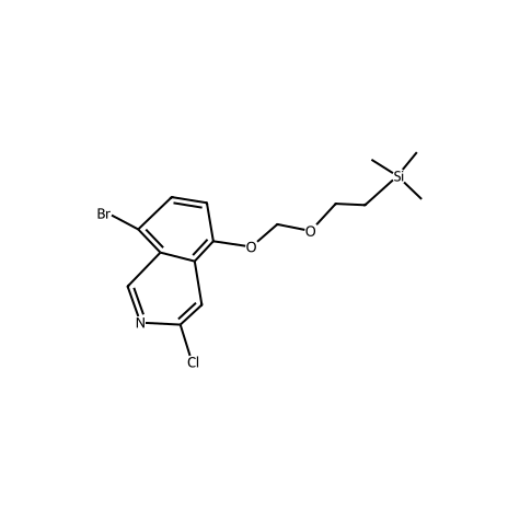 C[Si](C)(C)CCOCOc1ccc(Br)c2cnc(Cl)cc12